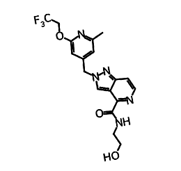 Cc1cc(Cn2cc3c(C(=O)NCCO)nccc3n2)cc(OCC(F)(F)F)n1